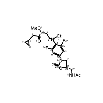 CCN(CCN(OC)C(=O)CC1CC1)c1c(F)cc(N2C[C@H](CNC(C)=O)OC2=O)cc1F